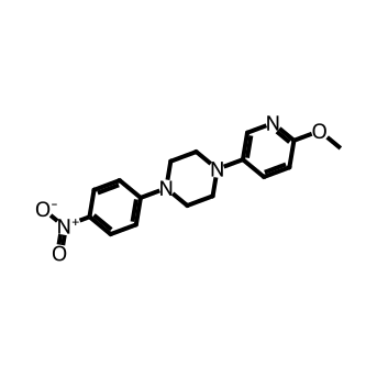 COc1ccc(N2CCN(c3ccc([N+](=O)[O-])cc3)CC2)cn1